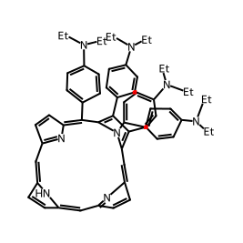 CCN(CC)c1ccc(-c2c(-c3ccc(N(CC)CC)cc3)c3c(-c4ccc(N(CC)CC)cc4)c4nc(cc5ccc(cc6nc(cc2n3-c2ccc(N(CC)CC)cc2)C=C6)[nH]5)C=C4)cc1